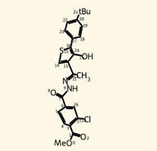 COC(=O)c1ccc(C(=O)N/N=C(\C)c2csc(-c3ccc(C(C)(C)C)cc3)c2O)cc1Cl